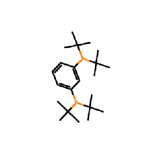 CC(C)(C)P(c1cccc(P(C(C)(C)C)C(C)(C)C)c1)C(C)(C)C